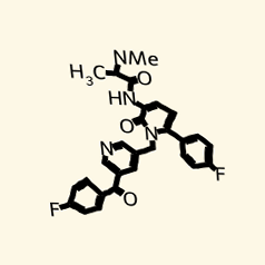 CNC(C)C(=O)Nc1ccc(-c2ccc(F)cc2)n(Cc2cncc(C(=O)c3ccc(F)cc3)c2)c1=O